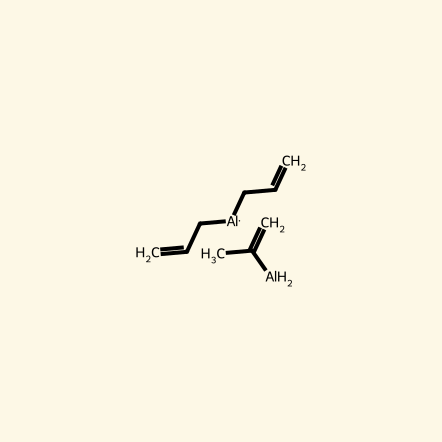 C=C[CH2][Al][CH2]C=C.C=[C](C)[AlH2]